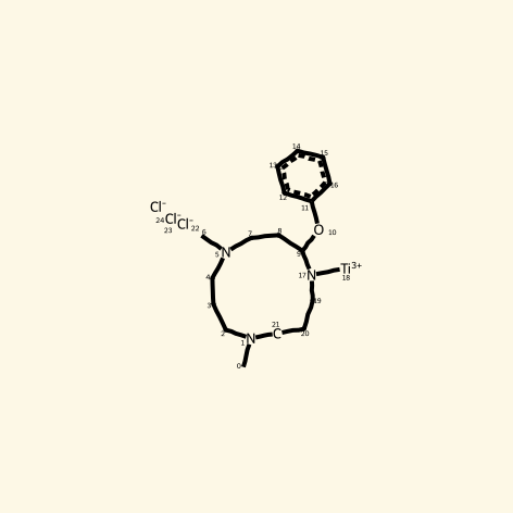 CN1CCCN(C)CCC(Oc2ccccc2)[N]([Ti+3])CCC1.[Cl-].[Cl-].[Cl-]